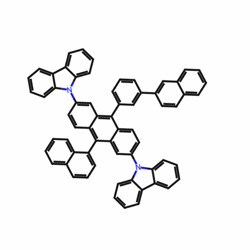 c1cc(-c2ccc3ccccc3c2)cc(-c2c3cc(-n4c5ccccc5c5ccccc54)ccc3c(-c3cccc4ccccc34)c3cc(-n4c5ccccc5c5ccccc54)ccc23)c1